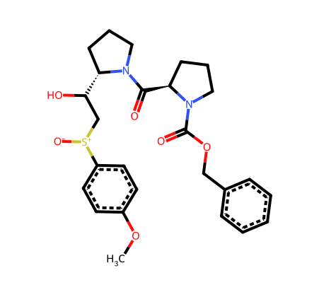 COc1ccc([S+]([O-])CC(O)[C@@H]2CCCN2C(=O)[C@H]2CCCN2C(=O)OCc2ccccc2)cc1